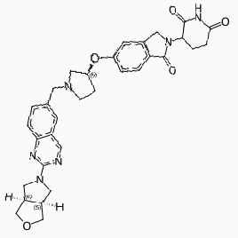 O=C1CCC(N2Cc3cc(O[C@H]4CCN(Cc5ccc6nc(N7C[C@H]8COC[C@H]8C7)ncc6c5)C4)ccc3C2=O)C(=O)N1